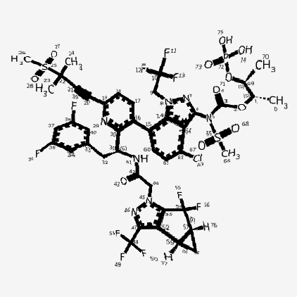 C[C@H](OC(=O)N(c1nn(CC(F)(F)F)c2c(-c3ccc(C#CC(C)(C)S(C)(=O)=O)nc3[C@H](Cc3cc(F)cc(F)c3)NC(=O)Cn3nc(C(F)(F)F)c4c3C(F)(F)[C@@H]3C[C@H]43)ccc(Cl)c12)S(C)(=O)=O)[C@H](C)OP(=O)(O)O